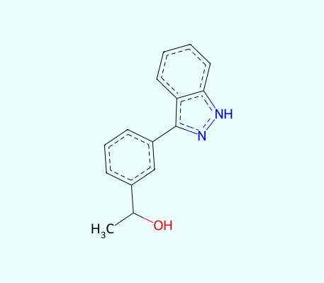 CC(O)c1cccc(-c2n[nH]c3ccccc23)c1